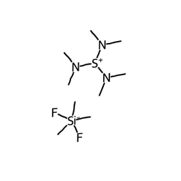 CN(C)[S+](N(C)C)N(C)C.C[Si-](C)(C)(F)F